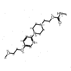 CNC(=O)OCCN1CCN(c2ccc(OCCOC)cn2)CC1